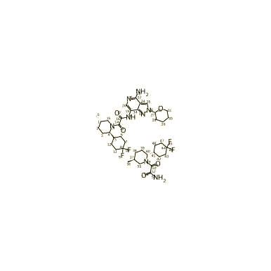 C[C@H]1CC[C@H](C2CCC(F)(F)CC2)N(C(=O)C(=O)Nc2cnc(N)c3cn(C4CCCCO4)nc23)C1.C[C@H]1CC[C@H](C2CCC(F)(F)CC2)N(C(=O)C(N)=O)C1